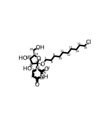 O=c1ccn([C@]2(OCCCCCCCCCCCl)O[C@H](CO)[C@@H](O)[C@H]2O)c(=O)[nH]1